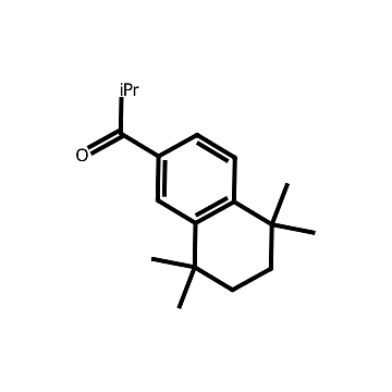 CC(C)C(=O)c1ccc2c(c1)C(C)(C)CCC2(C)C